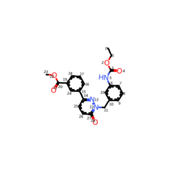 CCOC(=O)Nc1cccc(Cn2nc(-c3cccc(C(=O)OC)c3)ccc2=O)c1